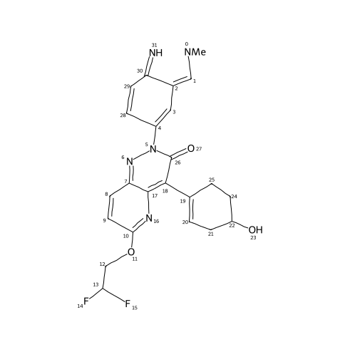 CN/C=C1/C=C(n2nc3ccc(OCC(F)F)nc3c(C3=CCC(O)CC3)c2=O)C=CC1=N